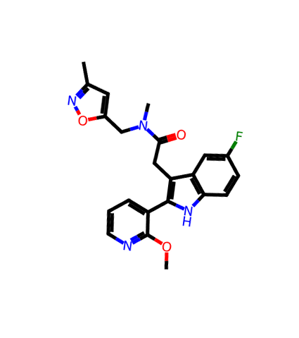 COc1ncccc1-c1[nH]c2ccc(F)cc2c1CC(=O)N(C)Cc1cc(C)no1